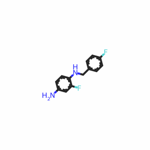 Nc1ccc(NCc2ccc(F)cc2)c(F)c1